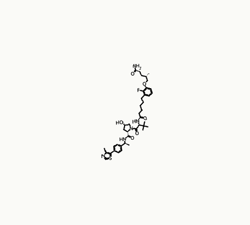 Cc1ncsc1-c1ccc([C@H](C)NC(=O)[C@@H]2C[C@@H](O)CN2C(=O)[C@@H](NC(=O)CCCCCc2cccc(OC[C@@H](C)CCC(N)=O)c2F)C(C)(C)C)cc1